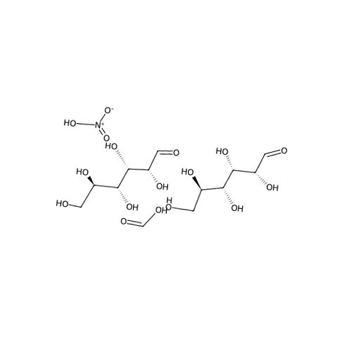 O=CO.O=C[C@H](O)[C@@H](O)[C@H](O)[C@H](O)CO.O=C[C@H](O)[C@@H](O)[C@H](O)[C@H](O)CO.O=[N+]([O-])O